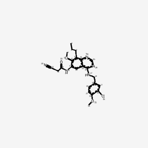 CCCc1c(OC)c(NC(=O)CC#N)cc2c(NCc3ccc(OC)c(Cl)c3)ncnc12